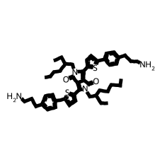 CCCCCC(CC)CN1C(=O)C2=C(c3ccc(-c4ccc(CCCN)cc4)s3)N(CC(CC)CCCC)C(=O)C2=C1c1ccc(-c2ccc(CCCN)cc2)s1